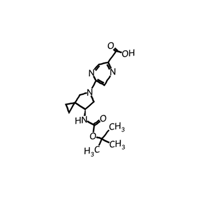 CC(C)(C)OC(=O)N[C@@H]1CN(c2cnc(C(=O)O)cn2)CC12CC2